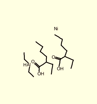 CCCCC(CC)C(=O)O.CCCCC(CC)C(=O)O.C[CH2][AlH][CH2]C.[Ni]